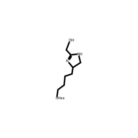 CCCCCCCCCCC1CNC(CO)=N1